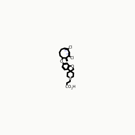 C=C1/C(Cl)=C\C(Cl)=C/CCCC1Oc1ccc2c(c1)OCC21CCN(CCC(=O)O)CC1